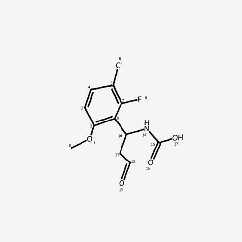 COc1ccc(Cl)c(F)c1C(CC=O)NC(=O)O